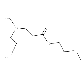 CCN(CCN)CCC(=O)NCCOC